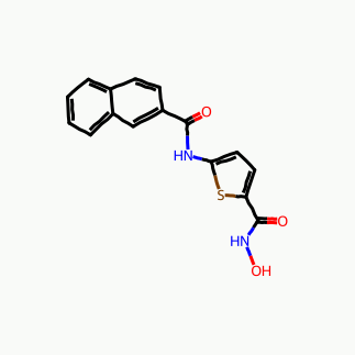 O=C(Nc1ccc(C(=O)NO)s1)c1ccc2ccccc2c1